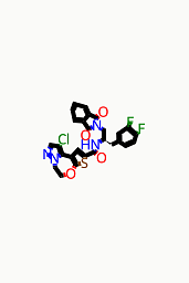 O=C(N[C@@H](Cc1ccc(F)c(F)c1)CN1C(=O)c2ccccc2C1=O)c1cc2c(s1)OCCn1ncc(Cl)c1-2